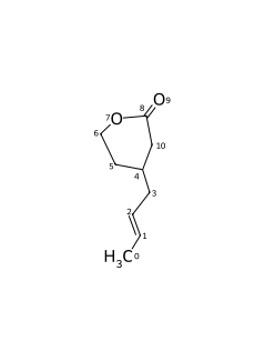 C/C=C/CC1CCOC(=O)C1